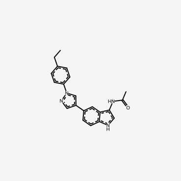 CCc1ccc(-n2cc(-c3ccc4[nH]cc(NC(C)=O)c4c3)cn2)cc1